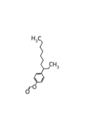 CCCCCCCC(CC)c1ccc(OC=O)cc1